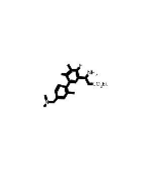 CCOC(=O)CC(N)c1cc(-c2ccc(CN(C)C)cc2C)c(C)c(C)c1F